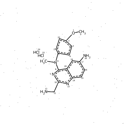 COc1ccc(N(C)c2nc(CN)nc3ccc(N)cc23)cc1.Cl.Cl